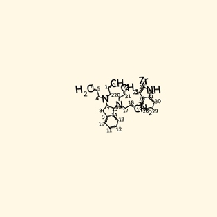 C=CCN(CC=C)C1Cc2ccccc2C1N(CC=C)CC=C.[Zr][c]1cc2ccccc2[nH]1